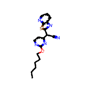 CCCCCCOc1nccc(C(C#N)c2nc3cccnc3s2)n1